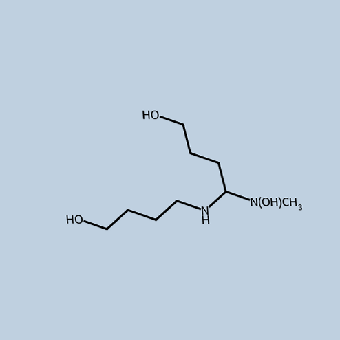 CN(O)C(CCCO)NCCCCO